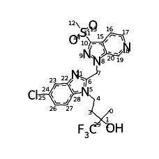 CC(O)(CCn1c(Cn2nc(S(C)(=O)=O)c3ccncc32)nc2cc(Cl)ccc21)C(F)(F)F